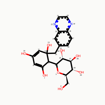 OC[C@H]1OC(C2C(O)=CC(O)=CC2(O)Cc2ccc3nccnc3c2)[C@H](O)[C@@H](O)[C@@H]1O